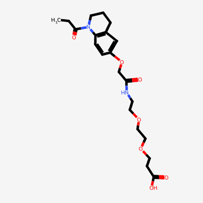 CCC(=O)N1CCCc2cc(OCC(=O)NCCOCCOCCC(=O)O)ccc21